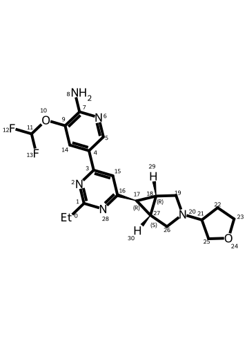 CCc1nc(-c2cnc(N)c(OC(F)F)c2)cc([C@H]2[C@@H]3CN(C4CCOC4)C[C@@H]32)n1